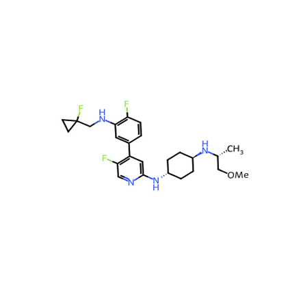 COC[C@@H](C)N[C@H]1CC[C@H](Nc2cc(-c3ccc(F)c(NCC4(F)CC4)c3)c(F)cn2)CC1